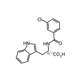 O=C(N[C@@H](Cc1c[nH]c2ccccc12)C(=O)O)c1cccc(Cl)c1